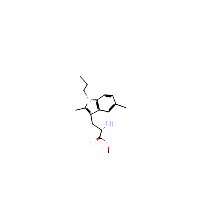 CCCn1c(C)c([C@@H](C)[C@@H](N)C(=O)OC)c2cc(C)ccc21